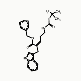 CC(C)(C)OC(=O)NCCC=C(Cc1c[nH]c2ccccc12)C(=O)OCc1ccccc1